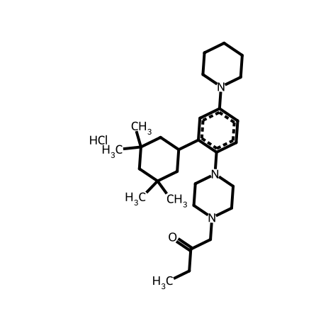 CCC(=O)CN1CCN(c2ccc(N3CCCCC3)cc2C2CC(C)(C)CC(C)(C)C2)CC1.Cl